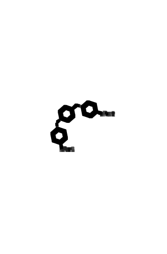 CCCCC[C@H]1CC[C@H](C[C@H]2CC[C@H](C[C@H]3CC[C@H](CCCCC)CC3)CC2)CC1